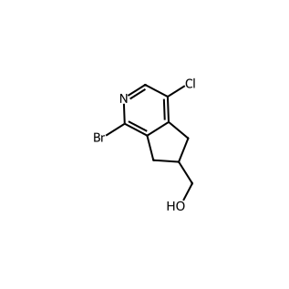 OCC1Cc2c(Cl)cnc(Br)c2C1